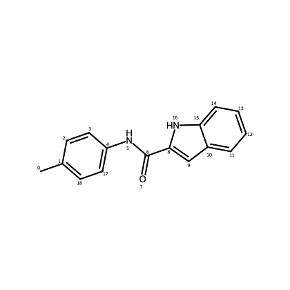 Cc1ccc(NC(=O)c2cc3ccccc3[nH]2)cc1